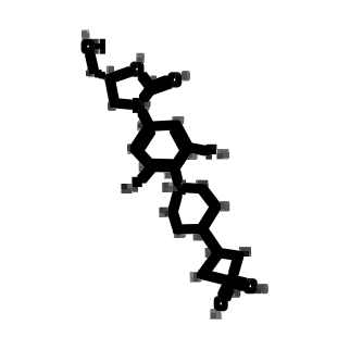 O=C1O[C@@H](CO)CN1c1cc(F)c(N2CCC(C3CS(=O)(=O)C3)CC2)c(F)c1